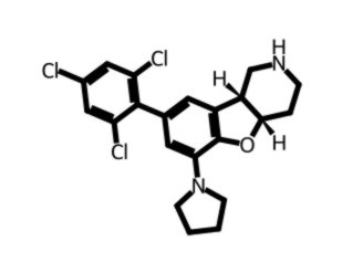 Clc1cc(Cl)c(-c2cc3c(c(N4CCCC4)c2)O[C@H]2CCNC[C@@H]32)c(Cl)c1